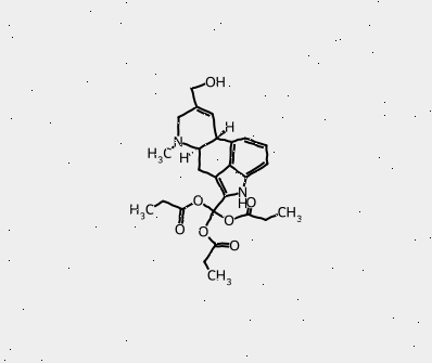 CCC(=O)OC(OC(=O)CC)(OC(=O)CC)c1[nH]c2cccc3c2c1C[C@@H]1[C@@H]3C=C(CO)CN1C